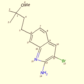 COC(C)(C)CCc1ccc2cc(Br)c(N)nc2c1